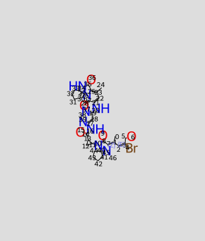 CC(/C=C(/Br)C=O)=C1\C(=O)N(C2CC2C(=O)Nc2cc(Nc3cc(C)c4n(c3=O)C3(CCCC3)NC4=O)ncn2)C2(CCCC2)N1C